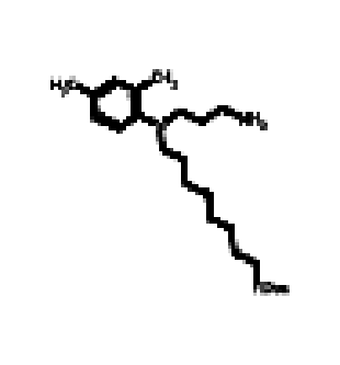 CCCCCCCCCCCCCCCCCCN(CCCN)c1ccc(C)cc1C